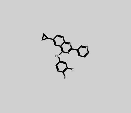 Fc1ccc(Nc2nc(-c3cccnc3)nc3ccc(C4CC4)cc23)cc1Cl